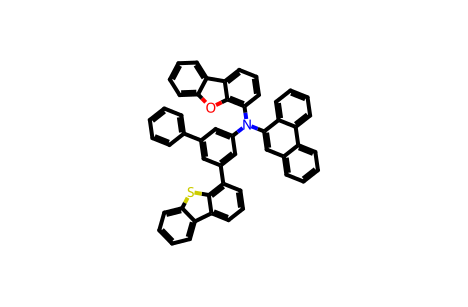 c1ccc(-c2cc(-c3cccc4c3sc3ccccc34)cc(N(c3cc4ccccc4c4ccccc34)c3cccc4c3oc3ccccc34)c2)cc1